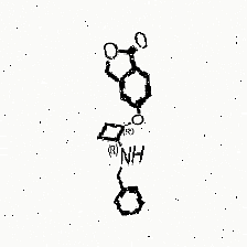 O=C1OCc2cc(O[C@@H]3CC[C@H]3NCc3ccccc3)ccc21